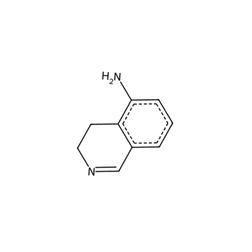 Nc1cccc2c1CCN=C2